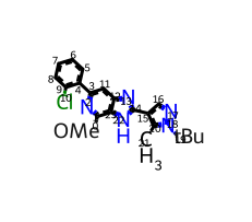 COc1nc(-c2ccccc2Cl)cc2nc(-c3cnn(C(C)(C)C)c3C)[nH]c12